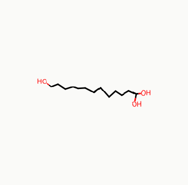 OCCCCCCCCCCCCC(O)O